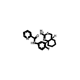 NC1=N[C@@]2(c3cc(NC(=O)c4ccccn4)ccc3F)CCCC[C@H]2CS1